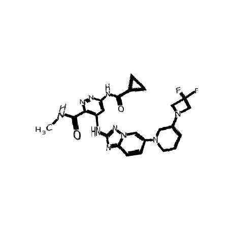 CNC(=O)c1nnc(NC(=O)C2CC2)cc1Nc1nc2ccc(N3CCCC(N4CC(F)(F)C4)C3)cn2n1